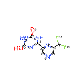 O=C1NC(c2cncc(C(F)F)n2)=NC(O)N1